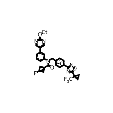 CCOc1ncc(-c2cccc(N(CC34CCC(c5noc(C6(C(F)(F)F)CC6)n5)(CC3)CC4)C(=O)C34CC(F)(C3)C4)c2)cn1